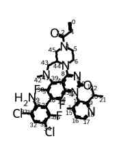 C=CC(=O)N1CCN2c3nc(=O)n(-c4c(C)ccnc4C(C)C)c4c(F)c(-c5c(N)c(Cl)cc(Cl)c5F)c(F)c(c34)N(C)CC2C1